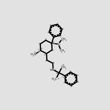 CN(C)[C@]1(c2ccccc2)CC[C@H](N)C(CCNC(C)(C)c2ccccc2)C1